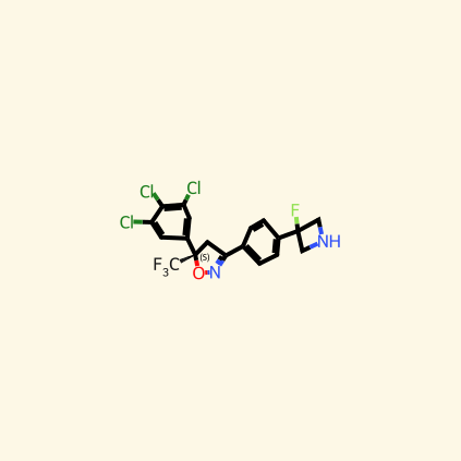 FC1(c2ccc(C3=NO[C@@](c4cc(Cl)c(Cl)c(Cl)c4)(C(F)(F)F)C3)cc2)CNC1